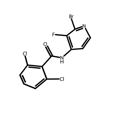 O=C(Nc1ccnc(Br)c1F)c1c(Cl)cccc1Cl